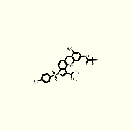 Cc1ccc(S(=O)(=O)n2cc(C(C)C)c3cc(Cc4c(C)cc(NC(=O)C(F)(F)F)cc4C)ccc32)cc1